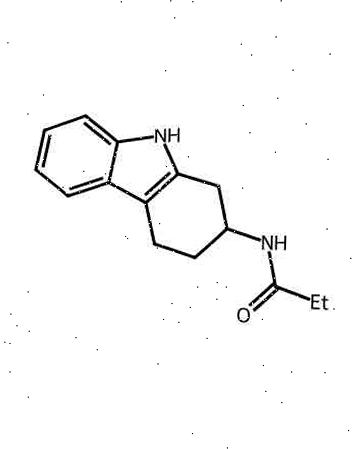 CCC(=O)NC1CCc2c([nH]c3ccccc23)C1